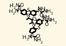 CC(C(=O)C(C)N1c2ccc(N(N)C(N)=O)cc2Sc2cc(N(N)C(N)=O)ccc21)N1c2ccc(N(N)C(N)=O)cc2Sc2cc(N(N)C(N)=O)ccc21